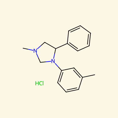 Cc1cccc(N2CN(C)CC2c2ccccc2)c1.Cl